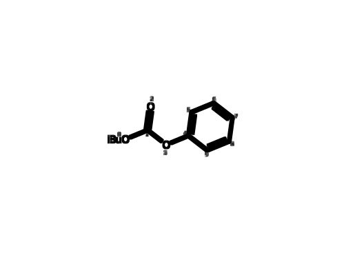 C[C](C)COC(=O)Oc1ccccc1